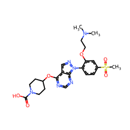 CN(C)CCOc1cc(S(C)(=O)=O)ccc1-n1ncc2c(OC3CCN(C(=O)O)CC3)ncnc21